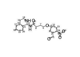 O=Cc1cc(OCCCC(=O)NC2NCCc3ccccc32)ccc1[N+](=O)[O-]